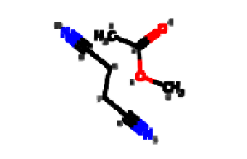 COC(C)=O.N#CCCC#N